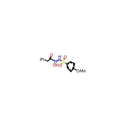 COc1ccc(S(=O)(=O)NN(O)C(=O)CC(C)C)cc1